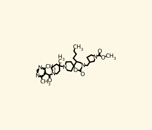 CCCCC1CN(CC2CCN(C(=O)OC)C2)C(=O)OC12CCN(C1(C)CCN(C(=O)c3c(C)ncnc3C)CC1)CC2